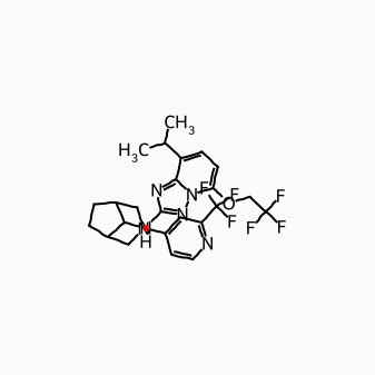 CC(C)c1ccc(OCC(F)(F)F)n2nc(NC3C4CCC3CN(c3ccnc(C(F)(F)F)c3)C4)nc12